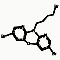 BrCCCCN1c2ncc(Br)cc2Oc2cc(Br)cnc21